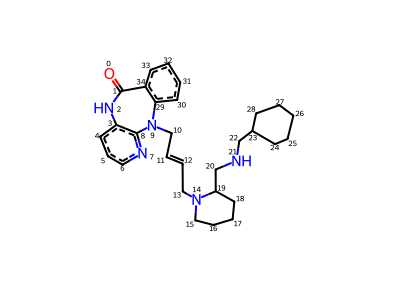 O=C1Nc2cccnc2N(C/C=C/CN2CCCCC2CNCC2CCCCC2)c2ccccc21